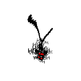 CCCCCCCCCCCCC/C=C/[C@@H](O)[C@H](CO[C@@H]1OC(CO)[C@@H](O[C@@H]2OC(CO)[C@H](O)[C@H](O[C@@H]3OC(CO)[C@@H](O[C@H]4OC(C)[C@@H](O)C(O)[C@@H]4O)[C@H](O[C@@H]4OC(CO)[C@H](O)[C@H](O[C@@H]5OC(CO)[C@@H](O)[C@H](O)C5NC(C)=O)C4O)C3NC(C)=O)C2O)[C@H](O)C1O)NC(=O)CCCCCCCCCCCCCCCCCCCCCCCCC